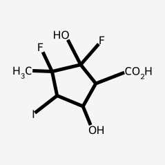 CC1(F)C(I)C(O)C(C(=O)O)C1(O)F